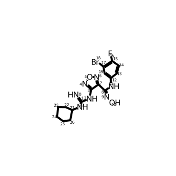 N=C(Nc1nonc1/C(=N/O)Nc1ccc(F)c(Br)c1)NC1CCCCC1